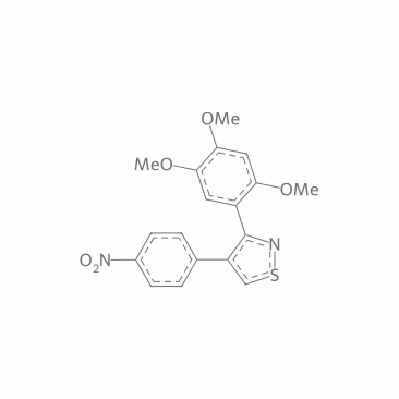 COc1cc(OC)c(-c2nscc2-c2ccc([N+](=O)[O-])cc2)cc1OC